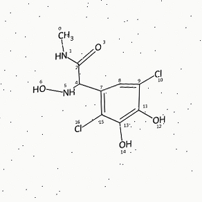 CNC(=O)C(NO)c1cc(Cl)c(O)c(O)c1Cl